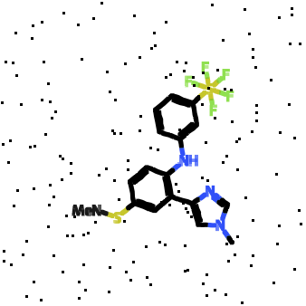 CNSc1ccc(Nc2cccc(S(F)(F)(F)(F)F)c2)c(-c2cn(C)cn2)c1